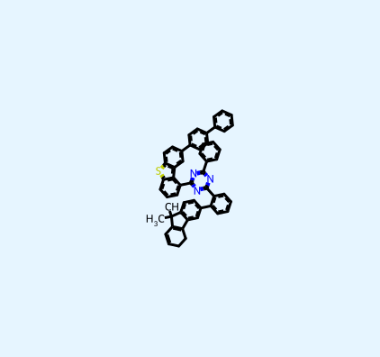 CC1(C)C2=C(CCC=C2)c2cc(-c3ccccc3-c3nc(-c4ccccc4)nc(-c4cccc5sc6ccc(-c7ccc(-c8ccccc8)cc7)cc6c45)n3)ccc21